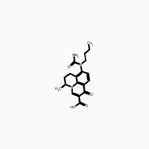 CCCCN(C(N)=O)c1ccc2c(=O)c(C(=O)O)cn3c2c1CCC3C